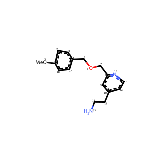 COc1ccc(COCc2cc(CCN)ccn2)cc1